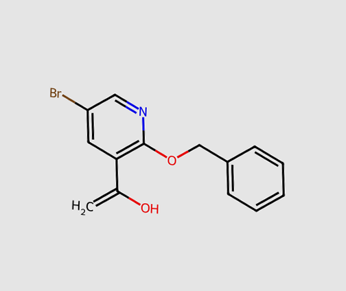 C=C(O)c1cc(Br)cnc1OCc1ccccc1